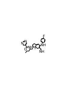 CCCC(C[C@H]1CCC2=CC(Nc3ccc(F)cc3)=C(C=N)C[C@@]21C)NC(=O)c1cncnc1